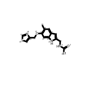 CCC(=O)NCc1cc2cc(C)c(OCc3cscn3)cc2[nH]1